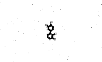 Fc1ccc(-c2cccc(Cl)c2Cl)cc1F